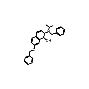 CC(C)N(Cc1ccccc1)C1C=Cc2ccc(OCc3ccccc3)cc2C1O